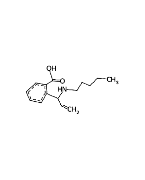 C=CC(NCCCCC)c1ccccc1C(=O)O